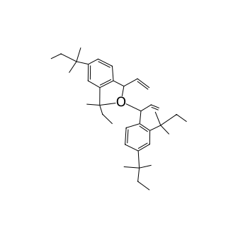 C=CC(OC(C=C)c1ccc(C(C)(C)CC)cc1C(C)(C)CC)c1ccc(C(C)(C)CC)cc1C(C)(C)CC